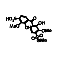 COc1c(S(=O)(=O)O)ccc(C(=O)c2ccc(S(=O)(=O)OC)c(OC)c2O)c1O